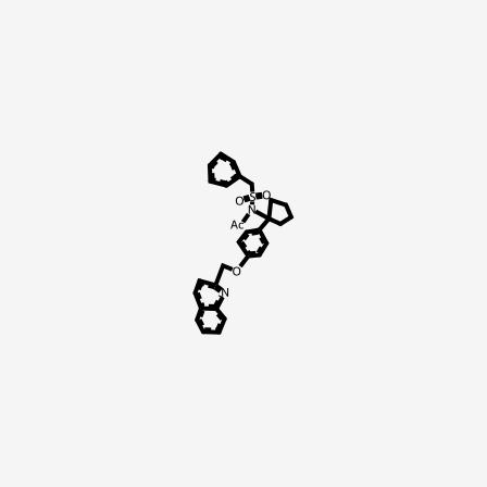 CC(=O)N(C1(c2ccc(OCc3ccc4ccccc4n3)cc2)CCCC1)S(=O)(=O)Cc1ccccc1